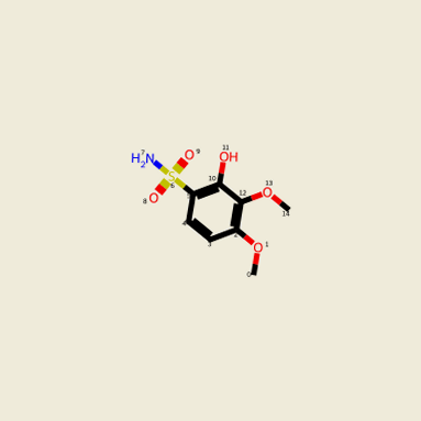 COc1ccc(S(N)(=O)=O)c(O)c1OC